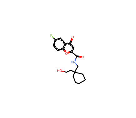 O=C(NCC1(CCO)CCCCC1)c1cc(=O)c2cc(F)ccc2o1